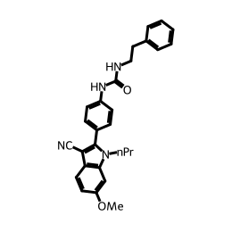 CCCn1c(-c2ccc(NC(=O)NCCc3ccccc3)cc2)c(C#N)c2ccc(OC)cc21